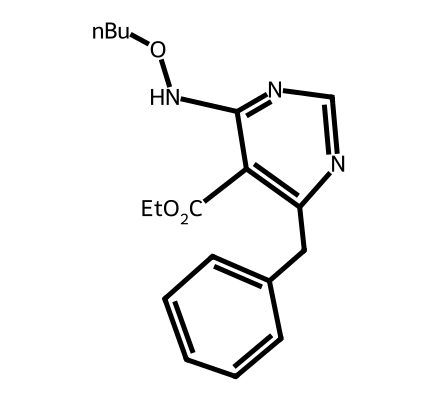 CCCCONc1ncnc(Cc2ccccc2)c1C(=O)OCC